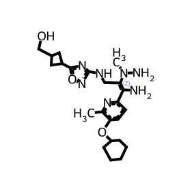 Cc1nc(/C(N)=C(\CNc2noc(C3CC(CO)C3)n2)N(C)N)ccc1OC1CCCCC1